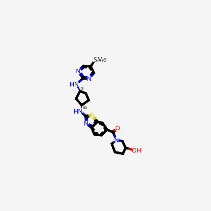 CSc1cnc(N[C@H]2CC[C@H](Nc3nc4ccc(C(=O)N5CCCC(O)C5)cc4s3)C2)nc1